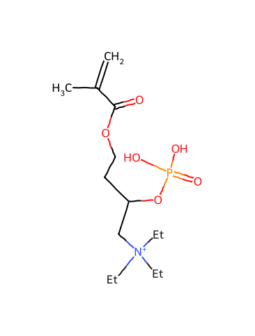 C=C(C)C(=O)OCCC(C[N+](CC)(CC)CC)OP(=O)(O)O